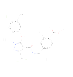 CCc1cc(Oc2c(C(=O)N[C@@H](C)c3ccc(C(=O)OC)c(C)c3)c(C(F)F)nn2C)ccc1F